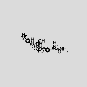 Cc1ncsc1-c1ccc([C@H](C)NC(=O)[C@@H]2C[C@@H](O)CN2C(=O)[C@@H](NC(=O)Cc2cccc(OC[C@@H](N)CCC(N)=O)c2)C(C)(C)C)cc1